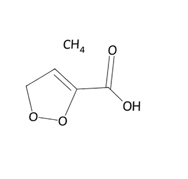 C.O=C(O)C1=CCOO1